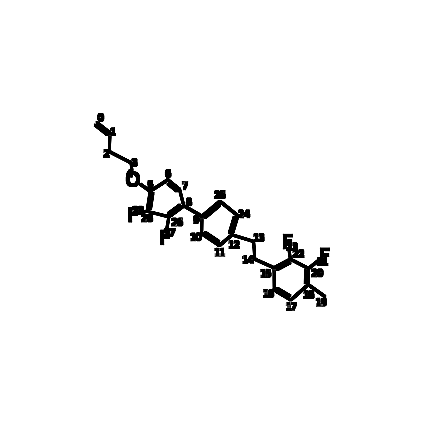 C=CCCOc1ccc(-c2ccc(CCc3ccc(C)c(F)c3F)cc2)c(F)c1F